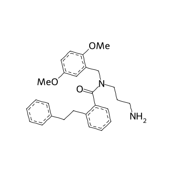 COc1ccc(OC)c(CN(CCCN)C(=O)c2ccccc2CCc2ccccc2)c1